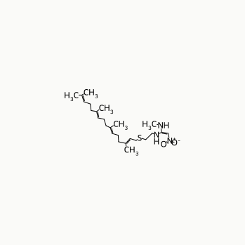 CN/C(=C/[N+](=O)[O-])NCCSC/C=C(\C)CC/C=C(\C)CC/C=C(\C)CCC=C(C)C